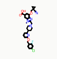 Cn1c(CN2CCC(c3cccc(OCc4ccc(Cl)cc4F)n3)CC2)nc2c(OCC3(C#N)CC3)cc(C(=O)O)cc21